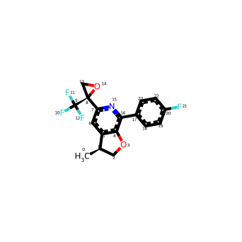 C[C@@H]1COc2c1cc([C@]1(C(F)(F)F)CO1)nc2-c1ccc(F)cc1